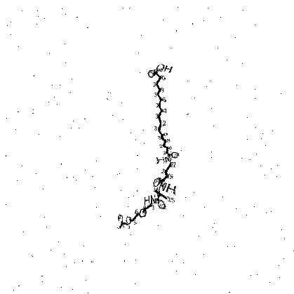 CC(=O)COCCOCCNC(=O)C(C)(C)NC(=O)CCCNC(=O)CCCCCCCCCCCCCCCCC(=O)O